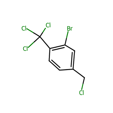 ClCc1ccc(C(Cl)(Cl)Cl)c(Br)c1